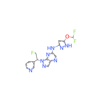 FCC(c1cccnc1)n1ncc2ncc(Nc3cc(OC(F)F)[nH]n3)nc21